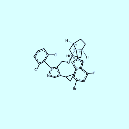 O[C@]1(c2nc3c(F)cc(Br)cc3s2)[C@@H]2CC[C@H]1C[C@@H](OCc1c(C3CC3)cnn1-c1c(Cl)cccc1Cl)C2